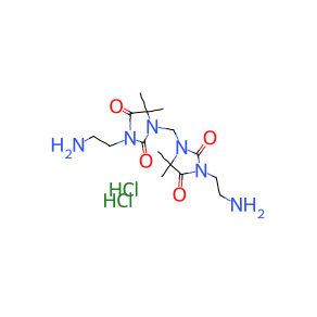 CC1(C)C(=O)N(CCN)C(=O)N1CN1C(=O)N(CCN)C(=O)C1(C)C.Cl.Cl